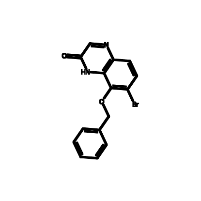 O=c1cnc2ccc(Br)c(OCc3ccccc3)c2[nH]1